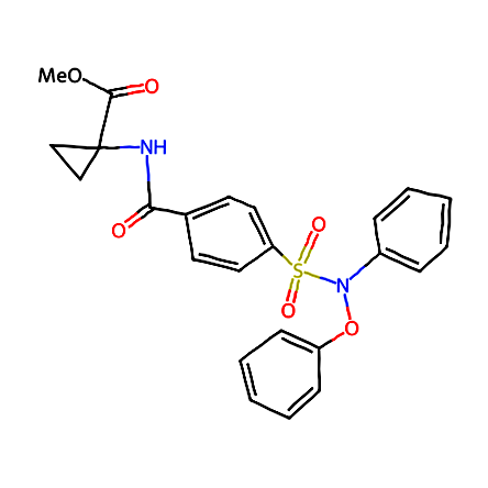 COC(=O)C1(NC(=O)c2ccc(S(=O)(=O)N(Oc3ccccc3)c3ccccc3)cc2)CC1